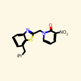 CC(C)Cc1cccc2nc(Cn3cccc([N+](=O)[O-])c3=O)sc12